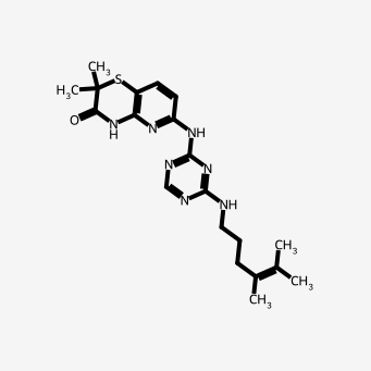 CC(C)=C(C)CCCNc1ncnc(Nc2ccc3c(n2)NC(=O)C(C)(C)S3)n1